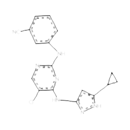 N#Cc1cccc(Nc2ncc(Cl)c(Nc3cc(C4CC4)[nH]n3)n2)c1